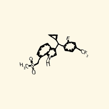 CS(=O)(=O)Cc1cccc2c(C(c3ccc(C(F)(F)F)cc3F)C3CC3)c[nH]c12